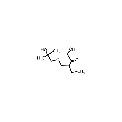 CCC(COCC(C)(C)O)C(=O)CO